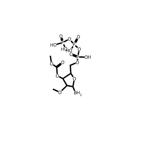 BC1OC(COP(=O)(O)OP(=O)(O)OP(=O)(O)O)C(OC(=O)OC)C1OC